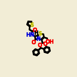 O=C(Cc1cccs1)N[C@@H]1C(=O)N2C(C(=O)OC(c3ccccc3)c3ccccc3)=C(CO)CS[C@@H]12